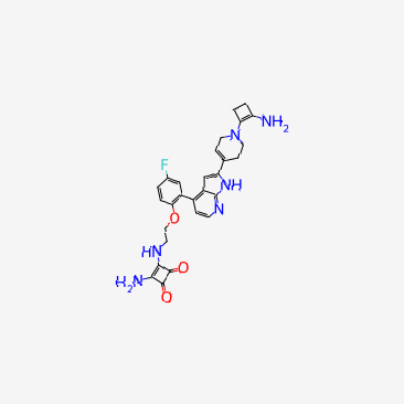 NC1=C(N2CC=C(c3cc4c(-c5cc(F)ccc5OCCNc5c(N)c(=O)c5=O)ccnc4[nH]3)CC2)CC1